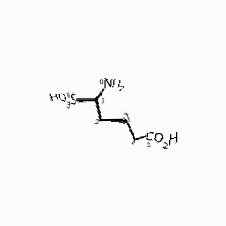 NC(CCCC(=O)O)S(=O)(=O)O